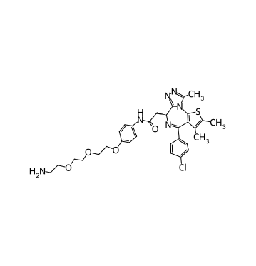 Cc1sc2c(c1C)C(c1ccc(Cl)cc1)=N[C@@H](CC(=O)Nc1ccc(OCCOCCOCCN)cc1)c1nnc(C)n1-2